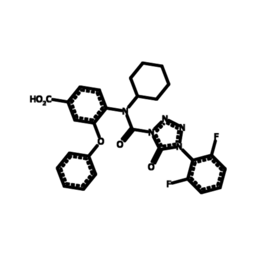 O=C(O)c1ccc(N(C(=O)n2nnn(-c3c(F)cccc3F)c2=O)C2CCCCC2)c(Oc2ccccc2)c1